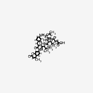 Cc1cc(=O)oc2cc(NC(=O)C(Cc3ccc(N)cc3)NC(=O)[C@@H](NC(=O)C(CC(C)C)NC(=O)[C@H](CC(C)C)NC(=O)CCC(=O)O)C(C)C)ccc12